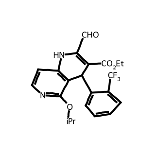 CCOC(=O)C1=C(C=O)Nc2ccnc(OC(C)C)c2C1c1ccccc1C(F)(F)F